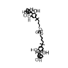 CC(C)(CCCCO[N+](=O)OCCCCC(C)(C)c1cc(O)c([C@H]2CC(=O)[C@H]3C[C@H]2C3(C)C)c(O)c1)c1cc(O)c([C@H]2CC(=O)[C@H]3C[C@H]2C3(C)C)c(O)c1